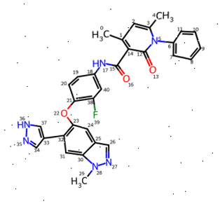 Cc1cc(C)n(-c2ccccc2)c(=O)c1C(=O)Nc1ccc(Oc2cc3cnn(C)c3cc2-c2cn[nH]c2)c(F)c1